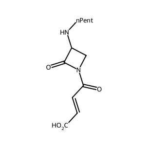 CCCCCNC1CN(C(=O)/C=C/C(=O)O)C1=O